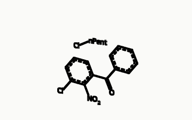 CCCCCCl.O=C(c1ccccc1)c1cccc(Cl)c1[N+](=O)[O-]